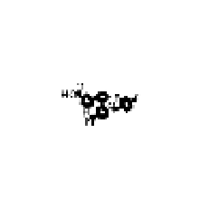 O=C(O)c1cc(F)cc(C2=C(c3cc(C(F)(F)F)ccc3OCc3ccc(F)cc3F)CCC2)c1